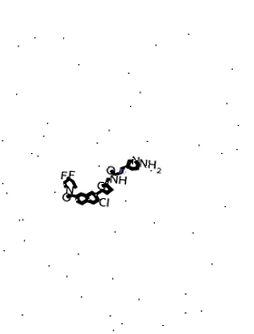 Nc1ccc(/C=C/C(=O)NCc2ccc(-c3cc4cc(C(=O)N5CCC(F)(F)CC5)ccc4cc3Cl)o2)cn1